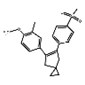 Cc1cc(C2=C(c3ccc(S(C)(=O)=O)cc3)CC3(CC3)C2)ccc1OC(F)(F)F